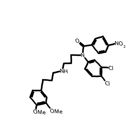 COc1ccc(CCCNCCCN(C(=O)c2ccc([N+](=O)[O-])cc2)c2ccc(Cl)c(Cl)c2)cc1OC